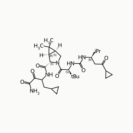 CC(C)[C@@H](CC(=O)C1CC1)NC(=O)N[C@H](C(=O)N1C[C@H]2[C@@H]([C@H]1C(=O)NC(CC1CC1)C(=O)C(N)=O)C2(C)C)C(C)(C)C